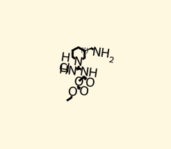 CCOC(=O)OC(=O)NC(=N)N1CCC[C@@H](CN)C1.Cl